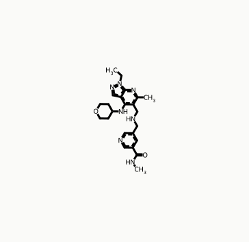 CCn1ncc2c(NC3CCOCC3)c(CNCc3cncc(C(=O)NC)c3)c(C)nc21